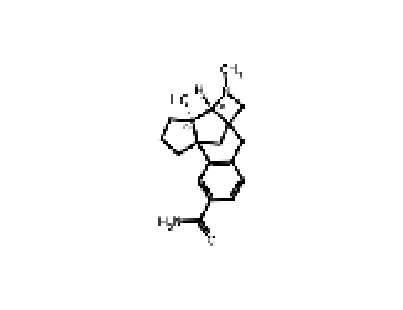 CN1CC23Cc4ccc(C(N)=O)cc4C4(CCC[C@@]4(O)[C@H]12)C3